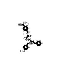 C[C@H](NC[C@@H](CCc1ccccc1)NCc1ccc(O)cc1)C(=O)NCc1ccc(C(=N)N)cc1